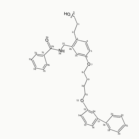 O=C(O)CCc1ccc(OCCCCOc2cccc(-c3ccccc3)c2)cc1CNC(=O)c1ccccc1